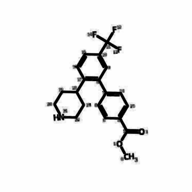 COC(=O)c1ccc(-c2cc(C(F)(F)F)ccc2C2CCNCC2)cc1